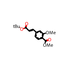 COC(=O)c1ccc(/C=C/C(=O)OC(C)(C)C)cc1OC